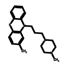 Cc1ccc2c(c1)N(CCCN1CCN(C)CC1)c1ccccc1S2